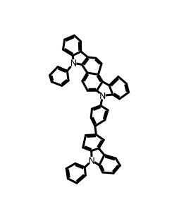 c1ccc(-n2c3ccccc3c3cc(-c4ccc(-n5c6ccccc6c6c7ccc8c9ccccc9n(-c9ccccc9)c8c7ccc65)cc4)ccc32)cc1